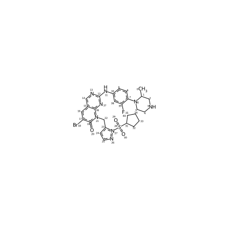 CC1CNCCN1c1ccc(Nc2ncc3cc(Br)c(=O)n(Cc4ccnn4S(=O)(=O)C4CCCC4)c3n2)cc1F